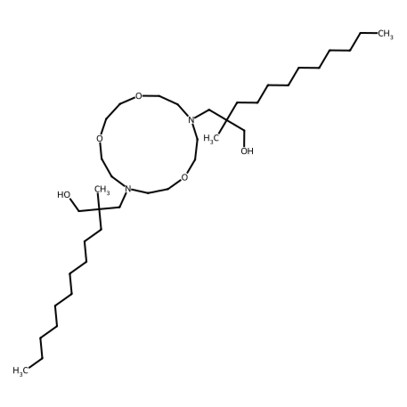 CCCCCCCCCCC(C)(CO)CN1CCOCCOCCN(CC(C)(CO)CCCCCCCCCC)CCOCC1